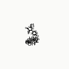 C#C/C(F)=C(\C=C(/C)Cl)c1ccc(C[C@H](CC(=O)O)NC(=O)CCP(=O)(O)O)cc1